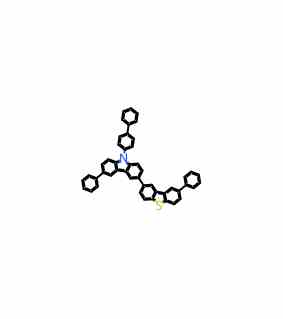 c1ccc(-c2ccc(-n3c4ccc(-c5ccccc5)cc4c4cc(-c5ccc6sc7ccc(-c8ccccc8)cc7c6c5)ccc43)cc2)cc1